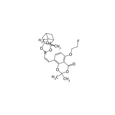 CC1(C)OC(=O)c2c(OCCF)ccc(/C=C\B3OC4CC5CC(C5(C)C)[C@]4(C)O3)c2O1